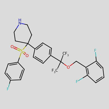 O=S(=O)(c1ccc(F)cc1)C1(c2ccc(C(OCc3c(F)cccc3F)(C(F)(F)F)C(F)(F)F)cc2)CCNCC1